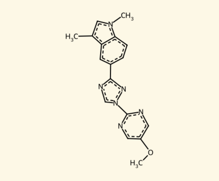 COc1cnc(-n2cnc(-c3ccc4c(c3)c(C)cn4C)n2)nc1